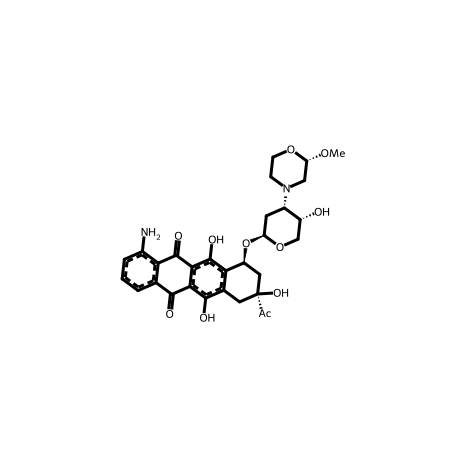 CO[C@@H]1CN([C@H]2C[C@H](O[C@H]3C[C@](O)(C(C)=O)Cc4c(O)c5c(c(O)c43)C(=O)c3c(N)cccc3C5=O)OC[C@H]2O)CCO1